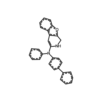 C1=C(N(c2ccccc2)c2ccc(-c3ccccc3)cc2)NCc2oc3ccccc3c21